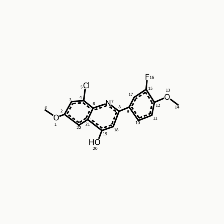 COc1cc(Cl)c2nc(-c3ccc(OC)c(F)c3)cc(O)c2c1